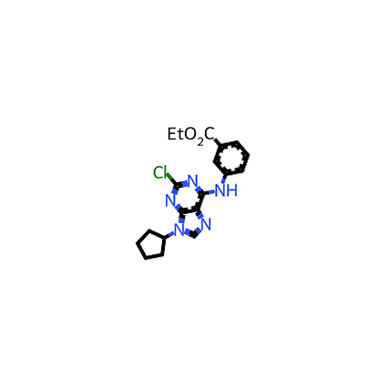 CCOC(=O)c1cccc(Nc2nc(Cl)nc3c2ncn3C2CCCC2)c1